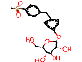 CS(=O)(=O)c1ccc(Cc2ccc(O[C@H]3O[C@H](CO)[C@@H](O)[C@H](O)[C@H]3O)cc2)cc1